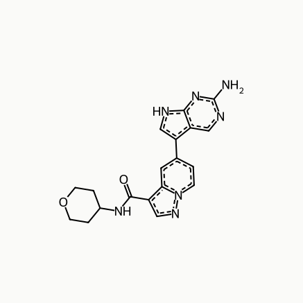 Nc1ncc2c(-c3ccn4ncc(C(=O)NC5CCOCC5)c4c3)c[nH]c2n1